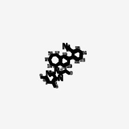 CCc1nc2c(C)cc(C)nc2n1C1CCCCc2cc(-c3ccccc3C#N)ccc21